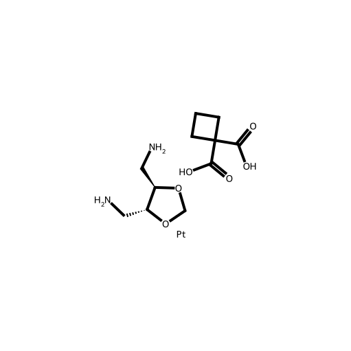 NC[C@H]1OCO[C@@H]1CN.O=C(O)C1(C(=O)O)CCC1.[Pt]